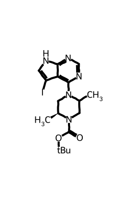 CC1CN(C(=O)OC(C)(C)C)[C@@H](C)CN1c1ncnc2[nH]cc(I)c12